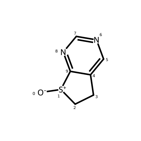 [O-][S+]1CCc2cncnc21